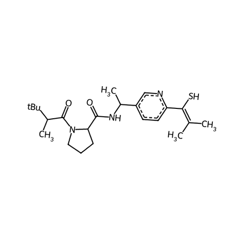 CC(C)=C(S)c1ccc(C(C)NC(=O)C2CCCN2C(=O)C(C)C(C)(C)C)cn1